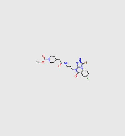 CC(C)(C)OC(=O)N1CCC(CC(=O)NCCCn2c(=O)c3cc(F)ccc3n3c(=S)[nH]nc23)CC1